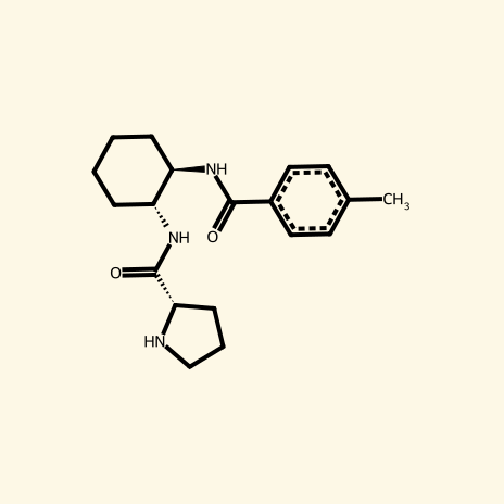 Cc1ccc(C(=O)N[C@@H]2CCCC[C@H]2NC(=O)[C@@H]2CCCN2)cc1